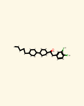 CCCCCC1CCC(C2CCC(C(=O)Cc3ccc(F)c(F)c3)CC2)CC1